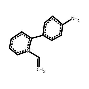 C=C[n+]1ccccc1-c1ccc(N)cc1